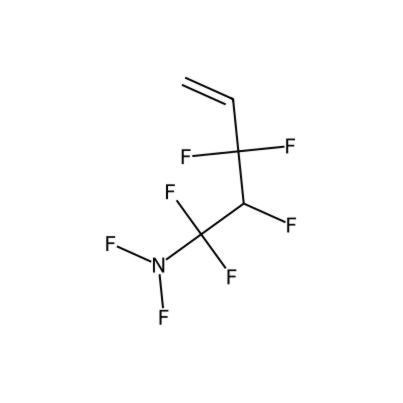 C=CC(F)(F)C(F)C(F)(F)N(F)F